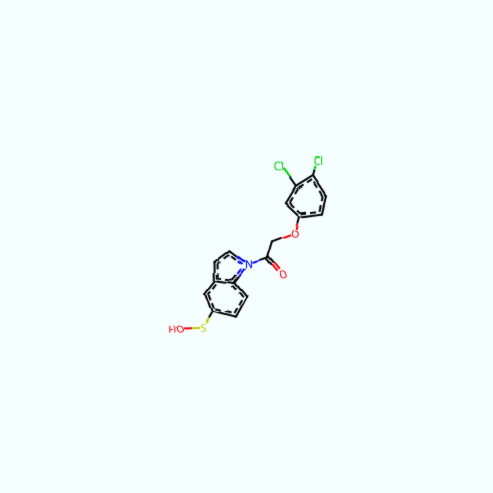 O=C(COc1ccc(Cl)c(Cl)c1)n1ccc2cc(SO)ccc21